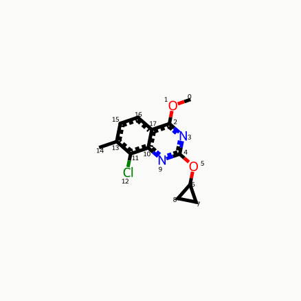 COc1nc(OC2CC2)nc2c(Cl)c(C)ccc12